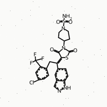 NS(=O)(=O)N1CCC(N2C(=O)S/C(=C(/Cc3ccc(Cl)cc3C(F)(F)F)c3ccc4[nH]ncc4c3)C2=O)CC1